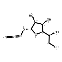 [N-]=[N+]=NO[C@H]1O[C@H]([C@@H](O)CO)[C@H](O)[C@@H]1O